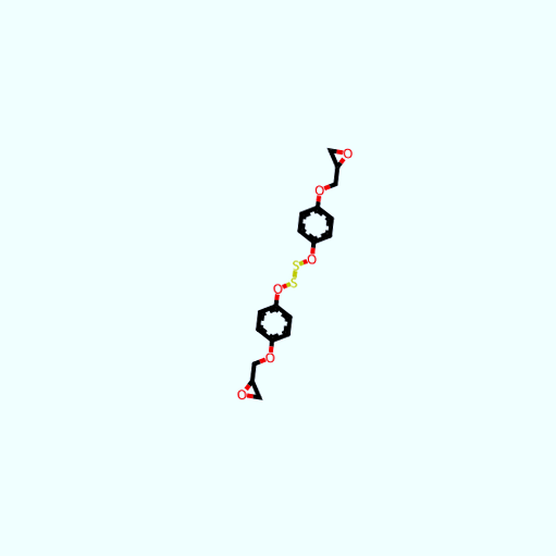 c1cc(OSSOc2ccc(OCC3CO3)cc2)ccc1OCC1CO1